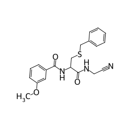 COc1cccc(C(=O)NC(CSCc2ccccc2)C(=O)NCC#N)c1